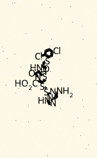 Nc1cc2nc[nH][n+]2c(SCSC2=C(C(=O)O)N3C(=O)[C@@H](NC(=O)CSc4cc(Cl)ccc4Cl)[C@H]3SC2)n1